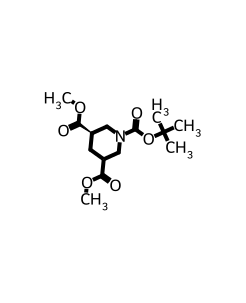 COC(=O)C1C[C@@H](C(=O)OC)CN(C(=O)OC(C)(C)C)C1